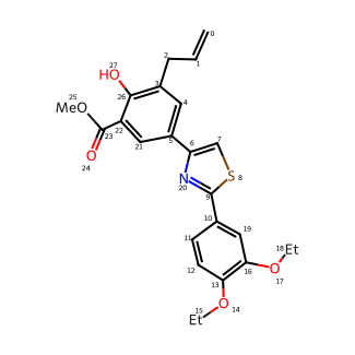 C=CCc1cc(-c2csc(-c3ccc(OCC)c(OCC)c3)n2)cc(C(=O)OC)c1O